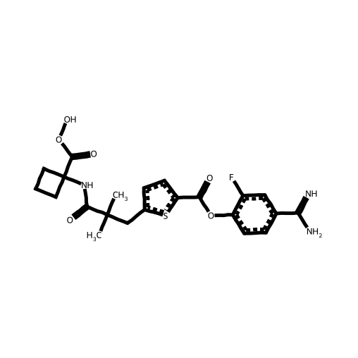 CC(C)(Cc1ccc(C(=O)Oc2ccc(C(=N)N)cc2F)s1)C(=O)NC1(C(=O)OO)CCC1